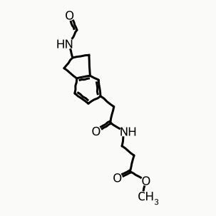 COC(=O)CCNC(=O)Cc1ccc2c(c1)CC(NC=O)C2